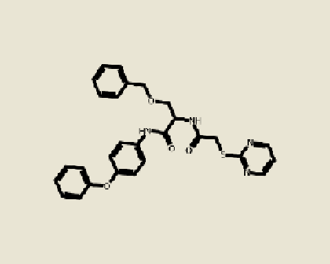 O=C(CSc1ncccn1)NC(COCc1ccccc1)C(=O)Nc1ccc(Oc2ccccc2)cc1